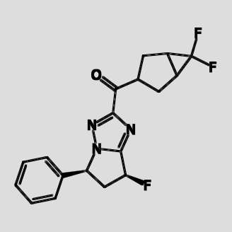 O=C(c1nc2n(n1)[C@H](c1ccccc1)C[C@@H]2F)C1CC2C(C1)C2(F)F